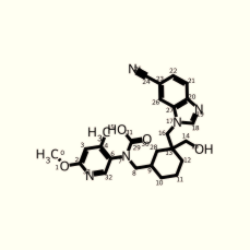 COc1cc(C)c(N(CC2CCCC(CO)(Cn3cnc4ccc(C#N)cc43)C2)C(=O)O)cn1